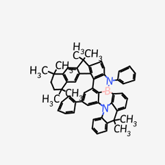 CC1(C)CCC(C)(C)c2cc3c(cc21)-c1c(ccc2c1-c1cc(-c4ccccc4)cc4c1B(c1cccc5c1N4c1ccccc1C5(C)C)N2c1ccccc1)C3(C)C